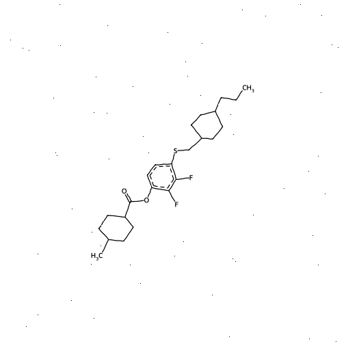 CCCC1CCC(CSc2ccc(OC(=O)C3CCC(C)CC3)c(F)c2F)CC1